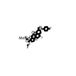 CSCO[C@]1(C(=O)SCF)CC[C@H]2[C@@H]3CCC4=Cc5c(cnn5-c5ccc(F)cc5)C[C@]4(C)[C@H]3[C@@H](O)C[C@@]21C